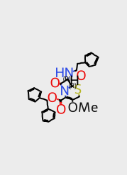 COC1=C(C(=O)OC(c2ccccc2)c2ccccc2)N2C(=O)[C@@H](NC(=O)Cc3ccccc3)[C@H]2SC1